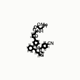 COC(=O)C(CC(C)C)NC(=O)c1ccc(-c2ccc(NC(Cc3cncn3Cc3ccc(C#N)cc3)C3CCCCC3)cc2)o1